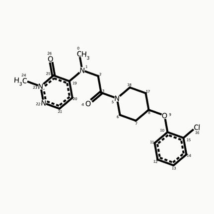 CN(CC(=O)N1CCC(Oc2ccccc2Cl)CC1)c1ccnn(C)c1=O